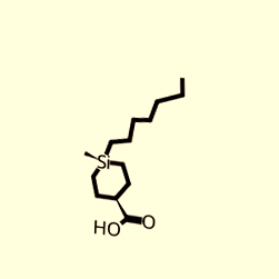 CCCCCCC[Si@]1(C)CC[C@@H](C(=O)O)CC1